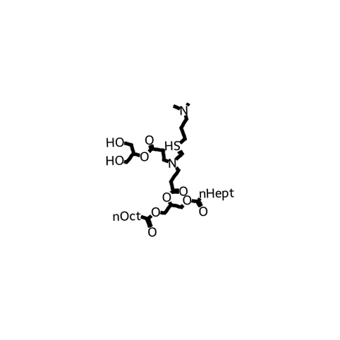 CCCCCCCCC(=O)OCC(COC(=O)CCCCCCC)OC(=O)CCN(C=[SH]CCCN(C)C)CCC(=O)OC(CO)CO